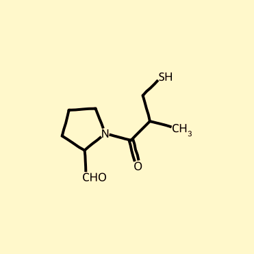 CC(CS)C(=O)N1CCCC1C=O